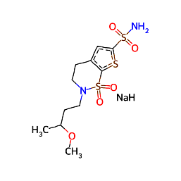 COC(C)CCN1CCc2cc(S(N)(=O)=O)sc2S1(=O)=O.[NaH]